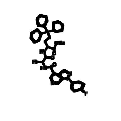 CCC(NC(=O)c1cncc2c1cnn2-c1ccc(F)cc1)C(=O)NC(CSC(c1ccccc1)(c1ccccc1)c1ccccc1)C(=O)OC